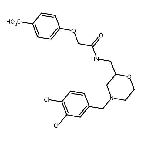 O=C(COc1ccc(C(=O)O)cc1)NCC1CN(Cc2ccc(Cl)c(Cl)c2)CCO1